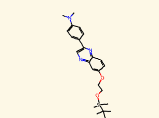 CN(C)c1ccc(-c2cnc3cc(OCCO[Si](C)(C)C(C)(C)C)ccc3n2)cc1